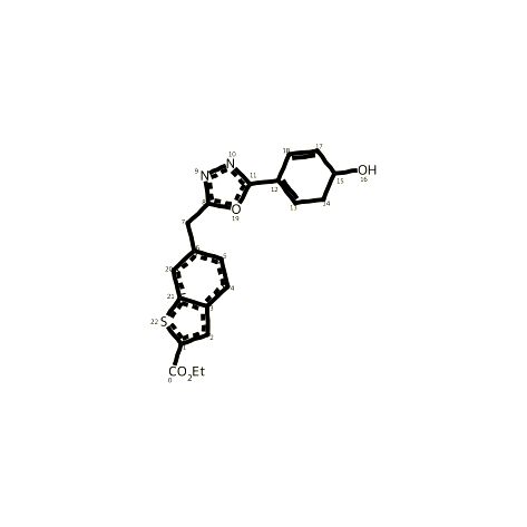 CCOC(=O)c1cc2ccc(Cc3nnc(C4=CCC(O)C=C4)o3)cc2s1